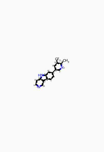 Cc1ncc(-c2ccc3c(c2)[nH]c2ccncc23)cc1C(F)(F)F